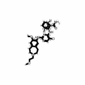 COCCN1CCc2cc(Nc3ncc(Cl)c(N[C@@H]4[C@H](C(N)=O)[C@H]5C=C[C@@H]4C5)n3)c(OC)cc2CC1